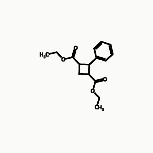 CCOC(=O)C1CC(C(=O)OCC)C1c1ccccc1